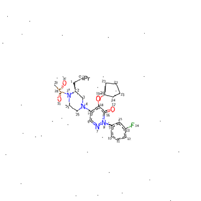 CC(C)C[C@H]1CN(c2cnn(-c3cccc(F)c3)c(=O)c2OC2CCCC2)CCN1S(C)(=O)=O